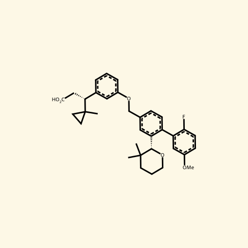 COc1ccc(F)c(-c2ccc(COc3cccc([C@@H](CC(=O)O)C4(C)CC4)c3)cc2[C@@H]2OCCCC2(C)C)c1